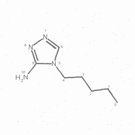 CCCCCn1cnnc1N